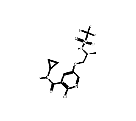 C[C@@H](COc1cnc(Cl)c(C(=O)N(C)C2CC2)c1)NS(=O)(=O)C(F)(F)F